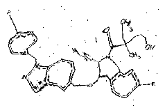 C[C@H]1[C@H](Oc2ccc3c(cnn3-c3ccc(F)cc3)c2)c2ccc(F)cc2N1C(=O)C(C)(C)CO